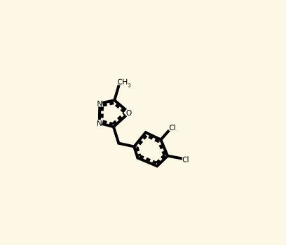 Cc1nnc(Cc2ccc(Cl)c(Cl)c2)o1